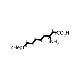 CCCCCCCCCCCCC(N)CC(=O)O